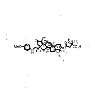 COc1ccc(NC[C@@H](O)[C@@]23CC[C@]4(C)[C@](C)(CC[C@@H]5[C@@]6(C)CC[C@H](OC(=O)CC(C)(C)C(=O)O)C(C)(C)[C@@H]6CC[C@]54C)C2=C(C(C)C)C(=O)C3)cc1